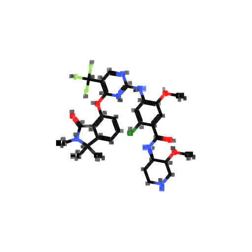 COc1cc(C(=O)N[C@@H]2CCNCC2OC)c(Cl)cc1Nc1ncc(C(F)(F)F)c(Oc2cccc3c2C(=O)N(C)C3(C)C)n1